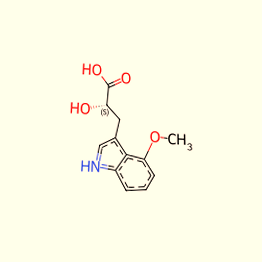 COc1cccc2[nH]cc(C[C@H](O)C(=O)O)c12